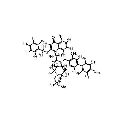 [2H]c1c([2H])c(F)c(F)c(C([2H])([2H])Sc2c([2H])c(=O)c3c([2H])c([2H])c([2H])c([2H])c3n2C([2H])([2H])C(=O)N(Cc2c([2H])c([2H])c(-c3c([2H])c([2H])c(C(F)(F)F)c([2H])c3[2H])c([2H])c2C)C2([2H])C([2H])([2H])C([2H])([2H])N(CC([2H])([2H])OC)C([2H])([2H])C2([2H])[2H])c1[2H]